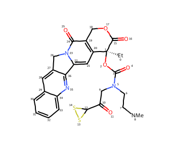 CC[C@@]1(OC(=O)N(CCNC)CC(=O)C2SS2)C(=O)OCc2c1cc1n(c2=O)Cc2cc3ccccc3nc2-1